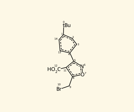 CC(C)(C)c1ccc(-c2noc(CBr)c2C(=O)O)cc1